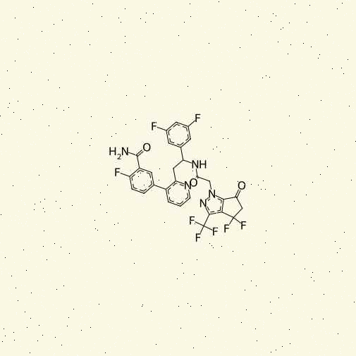 NC(=O)c1cc(-c2cccnc2CC(NC(=O)Cn2nc(C(F)(F)F)c3c2C(=O)CC3(F)F)c2cc(F)cc(F)c2)ccc1F